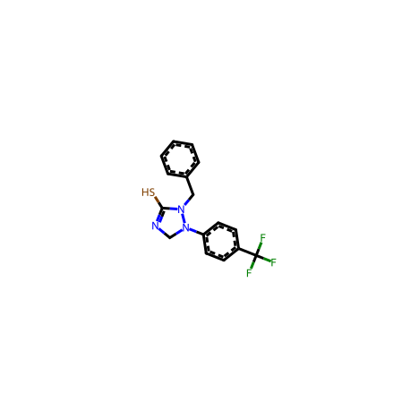 FC(F)(F)c1ccc(N2CN=C(S)N2Cc2ccccc2)cc1